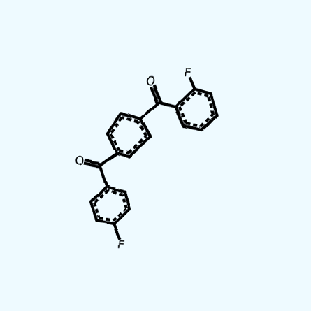 O=C(c1ccc(F)cc1)c1ccc(C(=O)c2ccccc2F)cc1